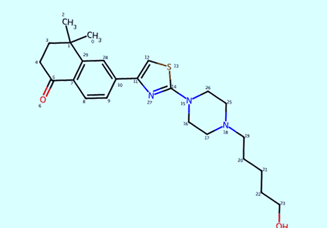 CC1(C)CCC(=O)c2ccc(-c3csc(N4CCN(CCCCCO)CC4)n3)cc21